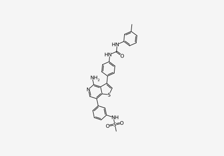 Cc1cccc(NC(=O)Nc2ccc(-c3csc4c(-c5cccc(NS(C)(=O)=O)c5)cnc(N)c34)cc2)c1